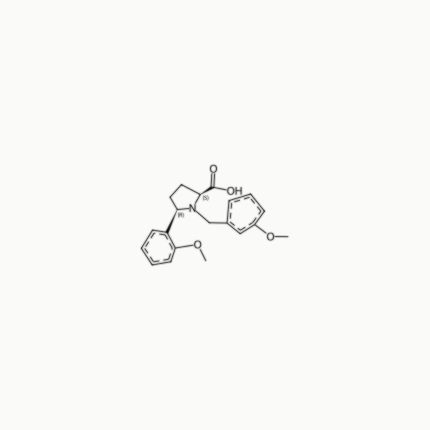 COc1cccc(CN2[C@@H](c3ccccc3OC)CC[C@H]2C(=O)O)c1